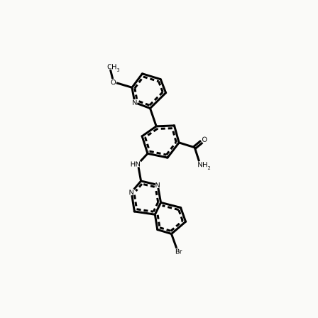 COc1cccc(-c2cc(Nc3ncc4cc(Br)ccc4n3)cc(C(N)=O)c2)n1